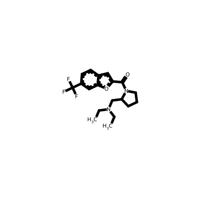 CCN(CC)CC1CCCN1C(=O)c1cc2ccc(C(F)(F)F)cc2o1